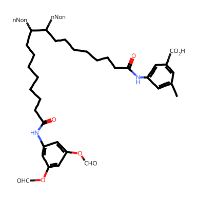 CCCCCCCCCC(CCCCCCCC(=O)Nc1cc(OC=O)cc(OC=O)c1)C(CCCCCCCCC)CCCCCCCC(=O)Nc1cc(C)cc(C(=O)O)c1